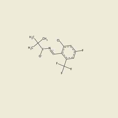 CC(C)(C)[S+]([O-])/N=C/c1c(Cl)cc(F)cc1C(F)(F)F